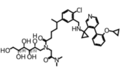 CC(CCCC(=O)N(CC(=O)N(C)C)C[C@H](O)[C@@H](O)[C@H](O)[C@H](O)CO)c1ccc(Cl)c(CNC2(c3cnccc3-c3ccccc3OC3CC3)CC2)c1